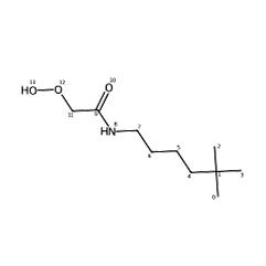 CC(C)(C)CCCCNC(=O)COO